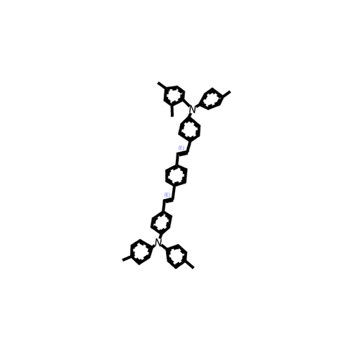 Cc1ccc(N(c2ccc(C)cc2)c2ccc(/C=C/c3ccc(/C=C/c4ccc(N(c5ccc(C)cc5)c5ccc(C)cc5C)cc4)cc3)cc2)cc1